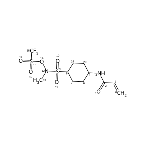 C=CC(=O)NC1CCC(S(=O)(=O)N(C)OS(=O)(=O)C(F)(F)F)CC1